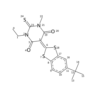 CCN1C(=O)/C(=C2\Sc3ccc(C(C)(C)C)cc3S2)C(=O)N(C)C1=S